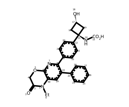 CCN1C(=O)COc2nc(-c3ccc([C@]4(NC(=O)O)C[C@H](O)C4)cc3)c(-c3ccccc3)cc21